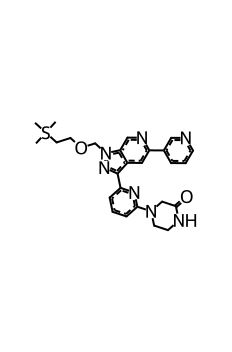 CS(C)(C)CCOCn1nc(-c2cccc(N3CCNC(=O)C3)n2)c2cc(-c3cccnc3)ncc21